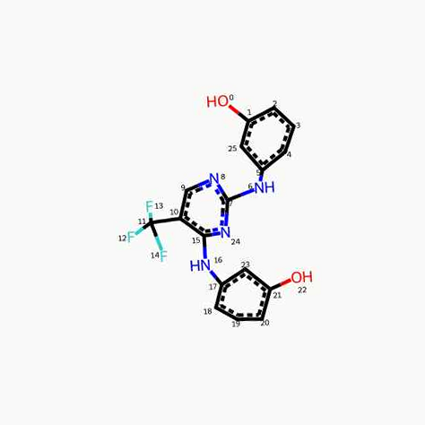 Oc1cccc(Nc2ncc(C(F)(F)F)c(Nc3cccc(O)c3)n2)c1